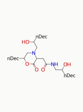 CCCCCCCCCCC(O)CNC(=O)CC1C(=O)OC(CCCCCCCCCC)CN1CC(O)CCCCCCCCCC